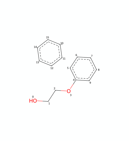 OCCOc1ccccc1.[c]1ccccc1